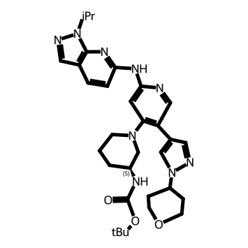 CC(C)n1ncc2ccc(Nc3cc(N4CCC[C@H](NC(=O)OC(C)(C)C)C4)c(-c4cnn(C5CCOCC5)c4)cn3)nc21